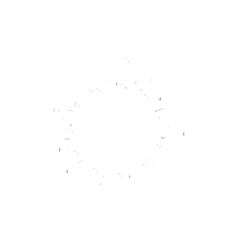 CC[C@@H]1NC(=O)[C@H]([C@H](O)[C@H](C)CC)N(C)C(=O)[C@H](C(C)C)N(C)C(=O)[C@H](CC(C)C)N(C)C(=O)[C@H](CC(C)C)N(C)C(=O)[C@@H](C)NC(=O)[C@H](C)NC(=O)[C@H](CCC(C)C)N(C)C(=O)[C@H](C(C)C)NC(=O)[C@H]([C@H](C)CCN2CCCCC2)N(C)C(=O)[C@@H](C)N(C)C1=O